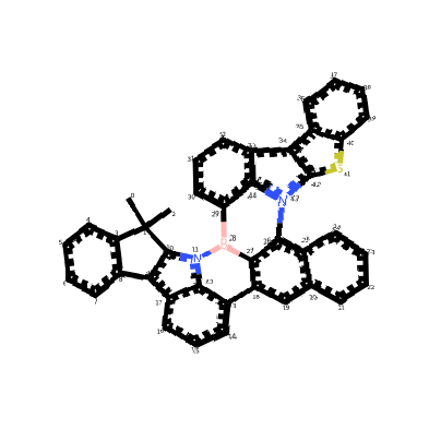 CC1(C)c2ccccc2-c2c1n1c3c(cccc23)-c2cc3ccccc3c3c2B1c1cccc2c4c5ccccc5sc4n-3c12